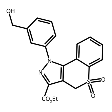 CCOC(=O)c1nn(-c2cccc(CO)c2)c2c1CS(=O)(=O)c1ccccc1-2